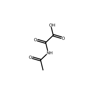 CC(=O)NC(=O)C(=O)O